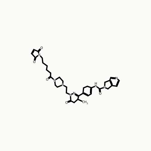 CC1CC(=O)N(CCN2CCN(C(=O)CCCCCN3C(=O)C=CC3=O)CC2)N=C1C1=CC=C(NC(=O)N2Cc3ccncc3C2)CC1